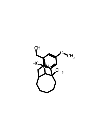 CCc1cc(OC)cc2c1CC1CCCCCC2(C)C1NO